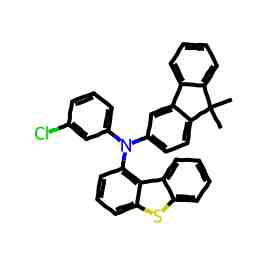 CC1(C)c2ccccc2-c2cc(N(c3cccc(Cl)c3)c3cccc4sc5ccccc5c34)ccc21